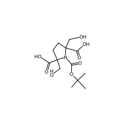 CC(C)(C)OC(=O)N1C(CO)(C(=O)O)CCC1(CO)C(=O)O